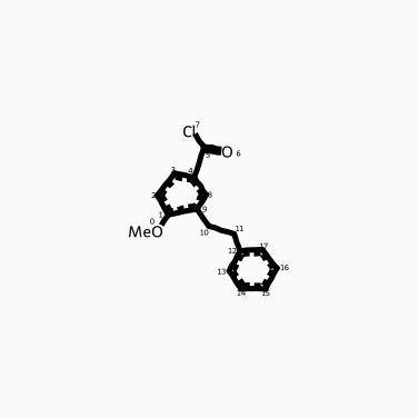 COc1ccc(C(=O)Cl)cc1CCc1ccccc1